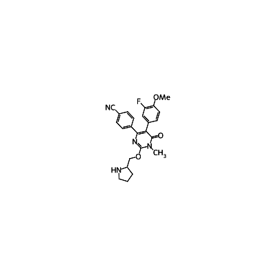 COc1ccc(-c2c(-c3ccc(C#N)cc3)nc(OCC3CCCN3)n(C)c2=O)cc1F